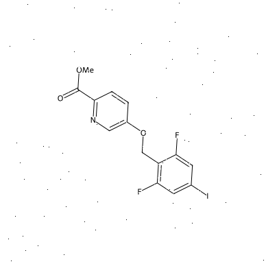 COC(=O)c1ccc(OCc2c(F)cc(I)cc2F)cn1